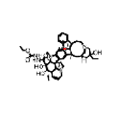 CCOC(=O)NNC(=O)[C@@]1(O)[C@H](O)[C@]2(CC)C=CCN3CC[C@@]4(c5cc([C@@]6(C)C[C@@H]7CN(CCc8c6[nH]c6ccccc86)C[C@](O)(CC)C7)c(OC)cc5N(C)[C@@H]14)[C@@H]32